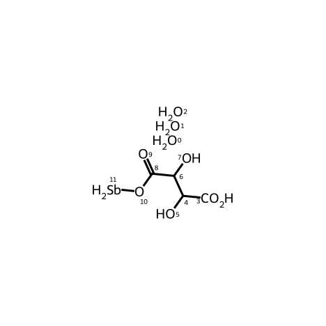 O.O.O.O=C(O)C(O)C(O)C(=O)[O][SbH2]